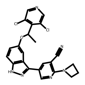 CC(Oc1ccc2[nH]nc(-c3cnc(N4CCC4)c(C#N)c3)c2c1)c1c(Cl)cncc1Cl